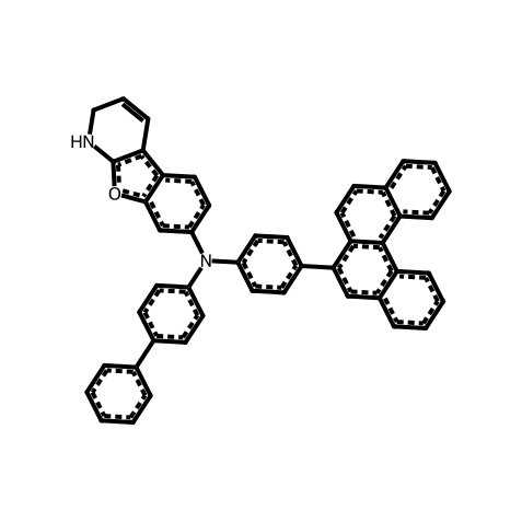 C1=Cc2c(oc3cc(N(c4ccc(-c5ccccc5)cc4)c4ccc(-c5cc6ccccc6c6c5ccc5ccccc56)cc4)ccc23)NC1